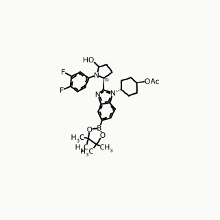 CC(=O)O[C@H]1CC[C@H](n2c([C@@H]3CCC(O)N3c3ccc(F)c(F)c3)nc3cc(B4OC(C)(C)C(C)(C)O4)ccc32)CC1